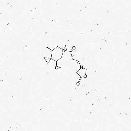 C[C@H]1C[N@+](C)(C(=O)CCN2COC(=O)C2)C[C@@H](O)C12CC2